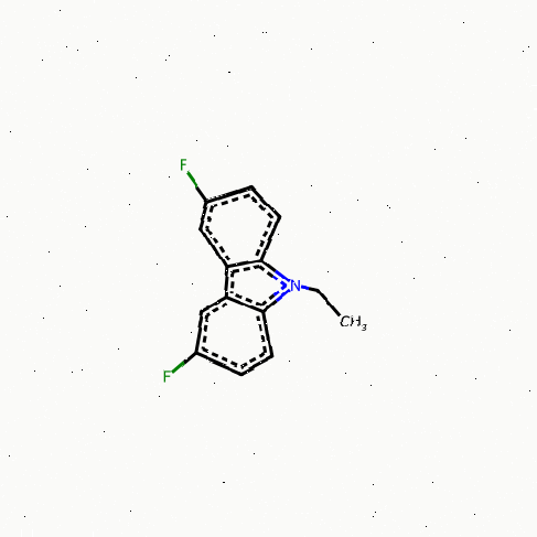 CCn1c2ccc(F)cc2c2cc(F)ccc21